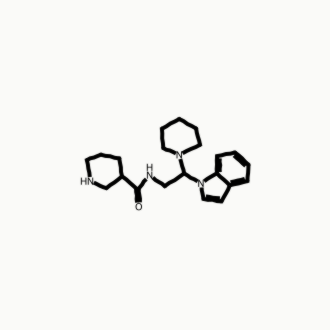 O=C(NCC(N1CCCCC1)n1ccc2ccccc21)C1CCCNC1